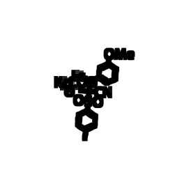 CCC(c1cccc(OC)c1)C(C)(C#N)S(=O)(=O)c1ccc(C)cc1.O=C([O-])[O-].[K+].[K+]